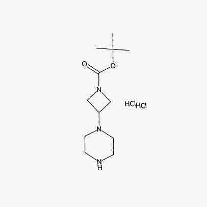 CC(C)(C)OC(=O)N1CC(N2CCNCC2)C1.Cl.Cl